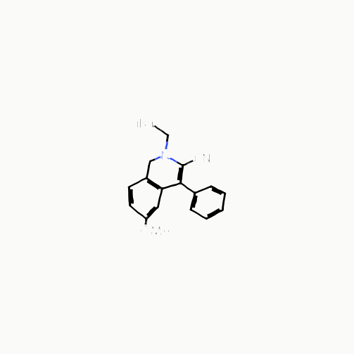 CCC(C)CN1Cc2ccc(OC)cc2C(c2ccccc2)=C1C#N